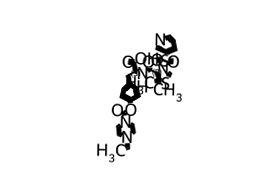 CCN1CCN(C(=O)Oc2ccc(C[C@H](NC(=O)[C@H]3N(S(=O)(=O)c4cccnc4)CSC3(C)C)C(=O)O)cc2)CC1